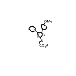 COc1ccc(-c2oc(SCC(=O)O)nc2-c2ccccc2)cc1